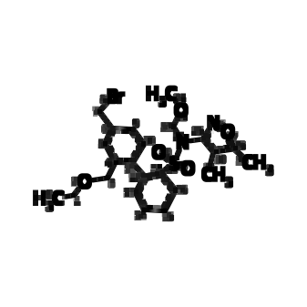 CCOCc1cc(CBr)ccc1-c1ccccc1S(=O)(=O)N(COC)c1noc(C)c1C